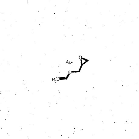 C=COCC1CO1.[Au]